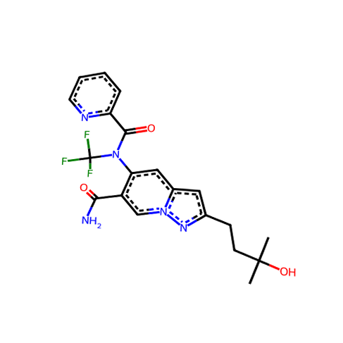 CC(C)(O)CCc1cc2cc(N(C(=O)c3ccccn3)C(F)(F)F)c(C(N)=O)cn2n1